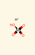 [H+].[O]=[Mn](=[O])(=[O])[OH]